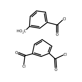 O=C(Cl)c1cccc(C(=O)Cl)c1.O=C(O)c1cccc(C(=O)Cl)c1